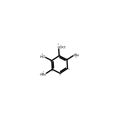 CCCCCCCCc1c(C(C)(C)C)ccc(CCCC)c1O